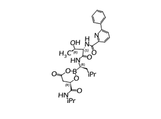 CC(C)C[C@H](NC(=O)[C@@H](NC(=O)c1cccc(-c2ccccc2)n1)[C@@H](C)O)B1OC(=O)C[C@H](C(=O)NC(C)C)O1